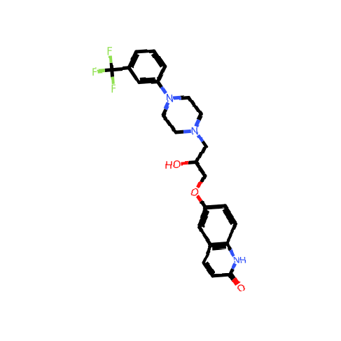 O=c1ccc2cc(OCC(O)CN3CCN(c4cccc(C(F)(F)F)c4)CC3)ccc2[nH]1